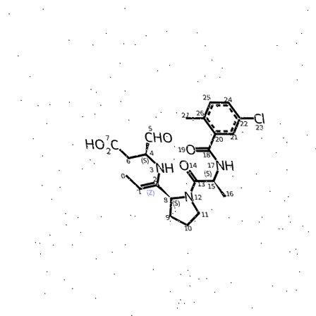 C/C=C(\N[C@H](C=O)CC(=O)O)[C@@H]1CCCN1C(=O)[C@H](C)NC(=O)c1cc(Cl)ccc1C